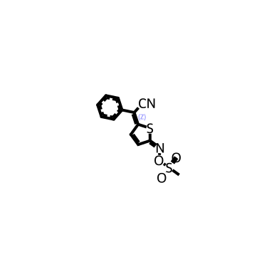 CS(=O)(=O)ON=C1C=C/C(=C(/C#N)c2ccccc2)S1